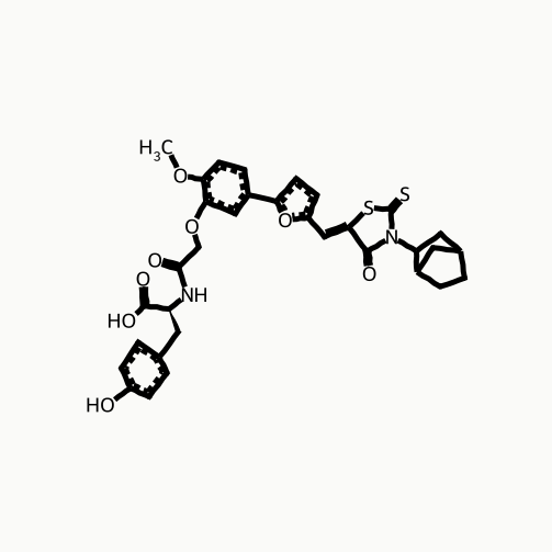 COc1ccc(-c2ccc(/C=C3\SC(=S)N(C4CC5CCC4C5)C3=O)o2)cc1OCC(=O)N[C@@H](Cc1ccc(O)cc1)C(=O)O